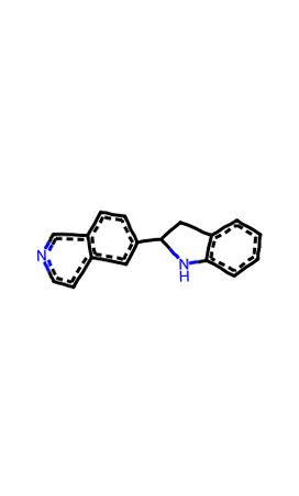 c1ccc2c(c1)CC(c1ccc3cnccc3c1)N2